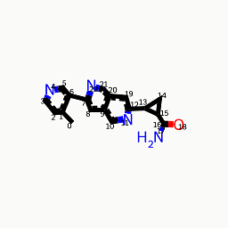 Cc1ccncc1-c1cc2cnc(C3CC3C(N)=O)cc2cn1